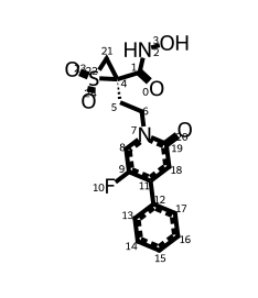 O=C(NO)[C@]1(CCn2cc(F)c(-c3ccccc3)cc2=O)CS1(=O)=O